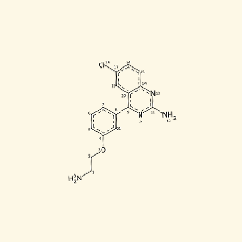 NCCOc1cccc(-c2nc(N)nc3ccc(Cl)cc23)c1